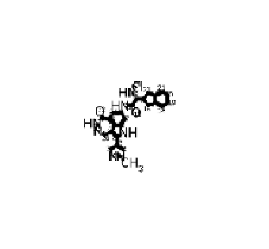 Cn1cc(-c2[nH]c3cc(NC(=O)[C@H](NCl)C4Cc5ccccc5C4)cc4c3c2C=NNC4=O)cn1